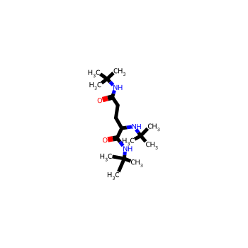 CC(C)(C)NC(=O)CCC(NC(C)(C)C)C(=O)NC(C)(C)C